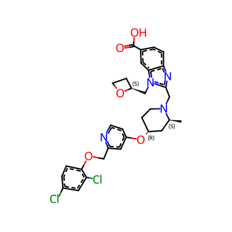 C[C@H]1C[C@H](Oc2ccnc(COc3ccc(Cl)cc3Cl)c2)CCN1Cc1nc2ccc(C(=O)O)cc2n1C[C@@H]1CCO1